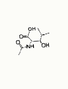 CC(=O)N[C@H](C(=O)O)[C@H](O)C(C)C